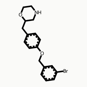 Brc1cccc(COc2ccc(CC3CNCCO3)cc2)c1